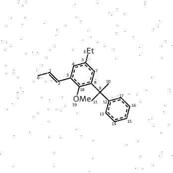 CC=Cc1cc(CC)cc(C(C)(C)c2ccccc2)c1OC